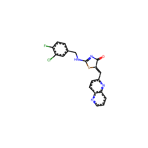 O=C1N=C(NCc2ccc(F)c(Cl)c2)S/C1=C\c1ccc2ncccc2n1